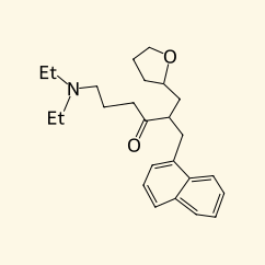 CCN(CC)CCCC(=O)C(Cc1cccc2ccccc12)CC1CCCO1